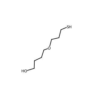 OCCCCOCCCS